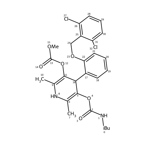 CCC(C)NC(=O)OC1=C(C)NC(C)=C(OC(=O)OC)C1c1ccccc1OCc1c(Cl)cccc1Cl